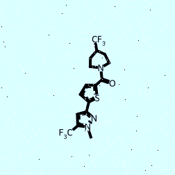 Cn1nc(-c2ccc(C(=O)N3CCC(C(F)(F)F)CC3)s2)cc1C(F)(F)F